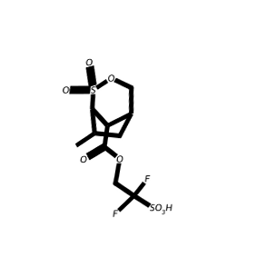 CC1CC2COS(=O)(=O)C1C2C(=O)OCC(F)(F)S(=O)(=O)O